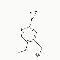 COc1cnc(C2CC2)cc1CN